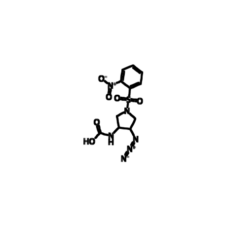 [N-]=[N+]=NC1CN(S(=O)(=O)c2ccccc2[N+](=O)[O-])CC1NC(=O)O